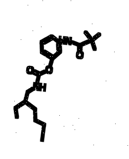 CCCCC(CC)CNC(=O)Oc1cccc(NC(=O)C(C)(C)C)c1